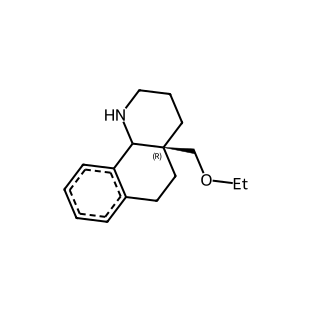 CCOC[C@]12CCCNC1c1ccccc1CC2